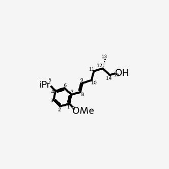 COc1ccc(C(C)C)cc1/C=C/CC[C@H](C)CO